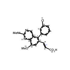 CNc1ncc2c(-c3cccc(Cl)c3)c(/C=C/C(=O)O)cc(OC)c2n1